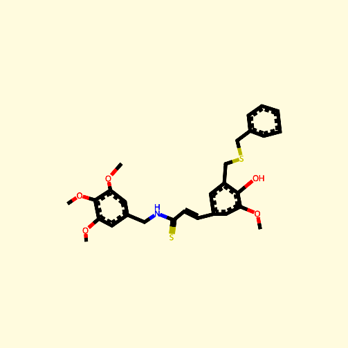 COc1cc(/C=C/C(=S)NCc2cc(OC)c(OC)c(OC)c2)cc(CSCc2ccccc2)c1O